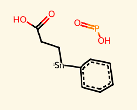 O=C(O)C[CH2][Sn][c]1ccccc1.O=PO